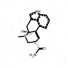 CN1C[C@@H](C(N)=O)C=C2c3cccc4[nH]cc(c34)C[C@H]21